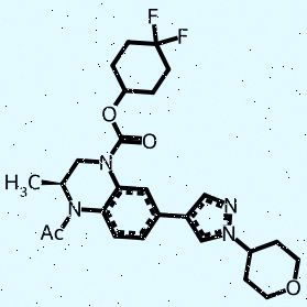 CC(=O)N1c2ccc(-c3cnn(C4CCOCC4)c3)cc2N(C(=O)OC2CCC(F)(F)CC2)C[C@@H]1C